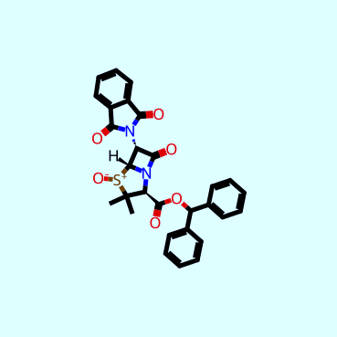 CC1(C)[C@H](C(=O)OC(c2ccccc2)c2ccccc2)N2C(=O)[C@@H](N3C(=O)c4ccccc4C3=O)[C@H]2[S+]1[O-]